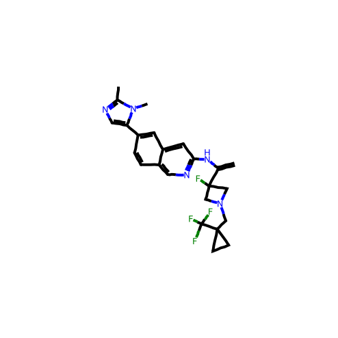 C=C(Nc1cc2cc(-c3cnc(C)n3C)ccc2cn1)C1(F)CN(CC2(C(F)(F)F)CC2)C1